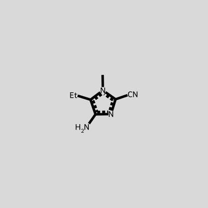 CCc1c(N)nc(C#N)n1C